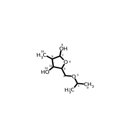 CC(C)OCC1OC(O)C(C)C1O